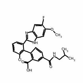 COc1cc2[nH]c(-c3cccc(Cl)c3-c3ccc(C(=O)NCC(C)C)cc3C(=O)O)nc2cc1F